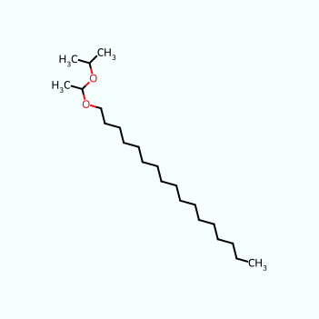 CCCCCCCCCCCCCCCCCOC(C)OC(C)C